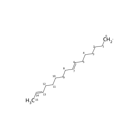 [CH2]CCCCCC=CCCCCCC=CC